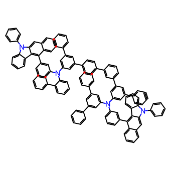 c1ccc(-c2cc(-c3cccc(-c4ccc(-c5cc(-c6ccccc6)cc(N(c6cccc(-c7c8ccccc8cc8c7c7ccccc7n8-c7ccccc7)c6)c6ccccc6-c6ccccc6)c5)cc4)c3)cc(N(c3cc(-c4ccccc4)cc(-c4ccccc4)c3)c3cccc(-c4c5ccccc5cc5c4c4ccccc4n5-c4ccccc4)c3)c2)cc#1